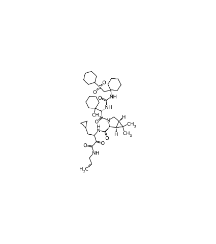 C=CCNC(=O)C(=O)C(CC1CC1)NC(=O)[C@@H]1[C@@H]2[C@H](CN1C(=O)[C@@H](NC(=O)NC1(CS(=O)(=O)C3CCCCC3)CCCCC1)C1(C)CCCCC1)C2(C)C